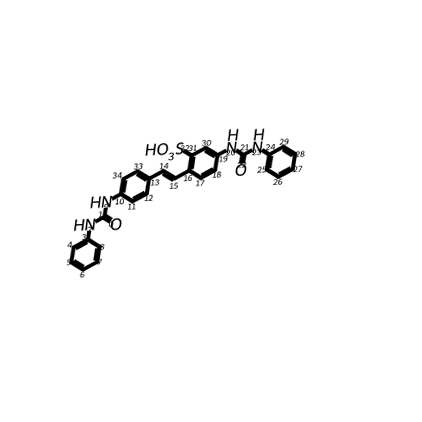 O=C(Nc1ccccc1)Nc1ccc(C=Cc2ccc(NC(=O)Nc3ccccc3)cc2S(=O)(=O)O)cc1